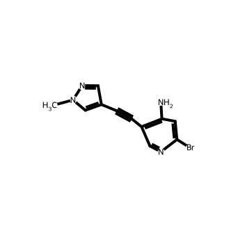 Cn1cc(C#Cc2cnc(Br)cc2N)cn1